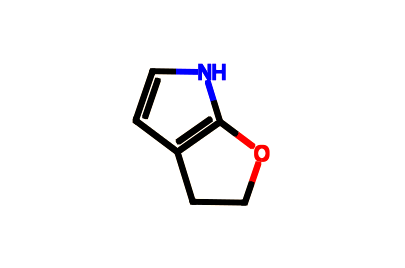 c1cc2c([nH]1)OCC2